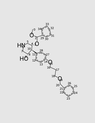 COC(O[C@H]1CNC[C@@H](O)[C@@H]1c1ccc(OCCCOCc2ccccc2)cc1)c1ccccc1